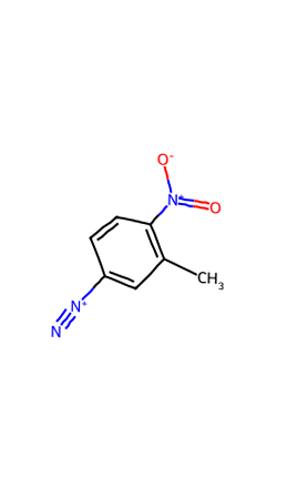 Cc1cc([N+]#N)ccc1[N+](=O)[O-]